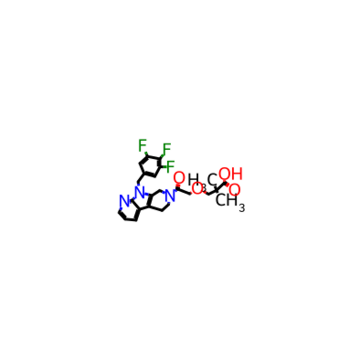 CC(C)(COCC(=O)N1CCc2c(n(Cc3cc(F)c(F)c(F)c3)c3ncccc23)C1)C(=O)O